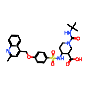 Cc1cc(COc2ccc(S(=O)(=O)NC3CCN(C(=O)NC(C)(C)C)CC3C(=O)O)cc2)c2ccccc2n1